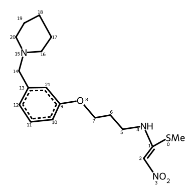 CSC(=C[N+](=O)[O-])NCCCOc1cccc(CN2CCCCC2)c1